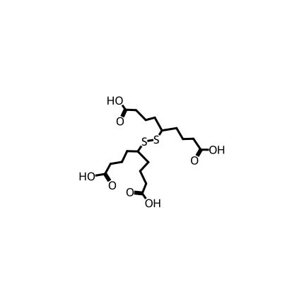 O=C(O)CCCC(CCCC(=O)O)SSC(CCCC(=O)O)CCCC(=O)O